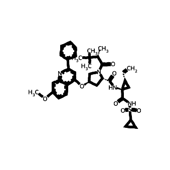 C=C[C@@H]1C[C@]1(NC(=O)[C@@H]1C[C@@H](Oc2cc(-c3ccccc3)nc3cc(OC)ccc23)CN1C(=O)[C@@H](C)C(C)(C)C)C(=O)NS(=O)(=O)C1CC1